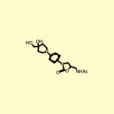 CC(=O)NCC1CN(c2ccc(N3CCC(O)(CO)CC3)cc2)C(=O)O1